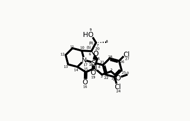 COCCN1C[C@H]([C@@H](C)O)C2CCCC(C1=O)N2S(=O)(=O)c1cc(Cl)cc(Cl)c1